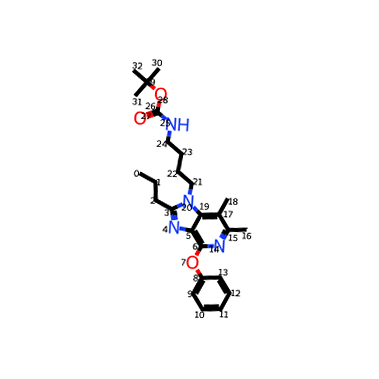 CCCc1nc2c(Oc3ccccc3)nc(C)c(C)c2n1CCCCNC(=O)OC(C)(C)C